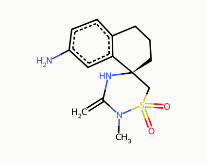 C=C1N[C@@]2(CCCc3ccc(N)cc32)CS(=O)(=O)N1C